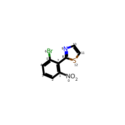 O=[N+]([O-])c1cccc(Br)c1-c1nccs1